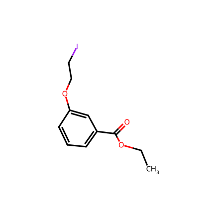 CCOC(=O)c1cccc(OCCI)c1